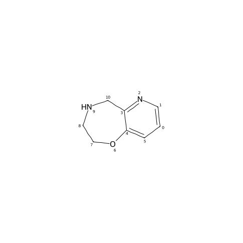 c1cnc2c(c1)OCCNC2